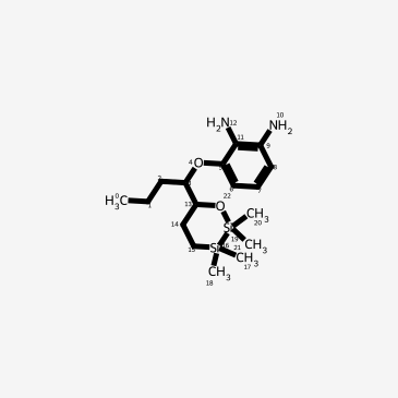 CCCC(Oc1cccc(N)c1N)C1CC[Si](C)(C)[Si](C)(C)O1